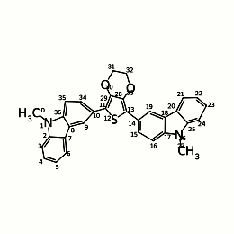 Cn1c2ccccc2c2cc(-c3sc(-c4ccc5c(c4)c4ccccc4n5C)c4c3OCCO4)ccc21